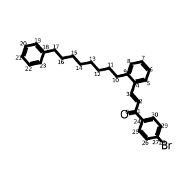 O=C(C=Cc1ccccc1CCCCCCCCc1ccccc1)c1ccc(Br)cc1